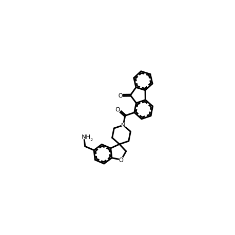 NCc1ccc2c(c1)C1(CCN(C(=O)c3cccc4c3C(=O)c3ccccc3-4)CC1)CO2